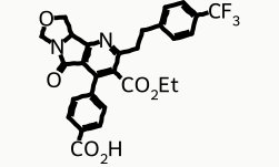 CCOC(=O)c1c(CCc2ccc(C(F)(F)F)cc2)nc2c(c1-c1ccc(C(=O)O)cc1)C(=O)N1COCC21